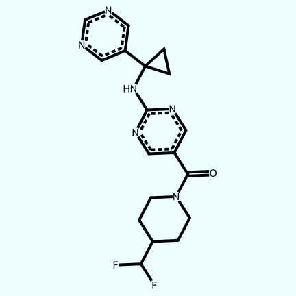 O=C(c1cnc(NC2(c3cncnc3)CC2)nc1)N1CCC(C(F)F)CC1